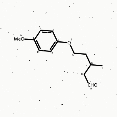 COc1ccc(OCCC(C)CC=O)cc1